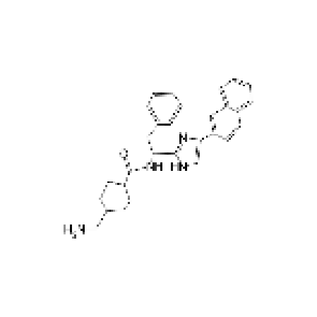 NCC1CCC(C(=O)NC(Cc2ccccc2)c2nc(-c3ccc4ccccc4c3)c[nH]2)CC1